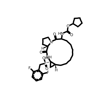 O=C(NC1CCCCCCC[C@@H]2C[C@@]2(P(=O)(O)Cc2c(F)cccc2F)NC(=O)[C@@H]2CCCN2C1=O)OC1CCCC1